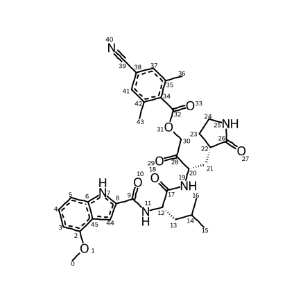 COc1cccc2[nH]c(C(=O)N[C@@H](CC(C)C)C(=O)N[C@@H](C[C@@H]3CCNC3=O)C(=O)COC(=O)c3c(C)cc(C#N)cc3C)cc12